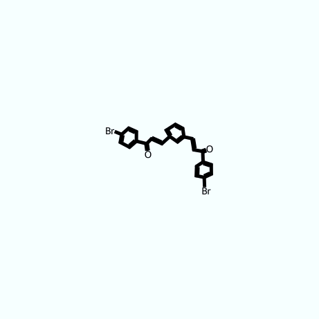 O=C(/C=C/c1cccc(/C=C/C(=O)c2ccc(Br)cc2)c1)c1ccc(Br)cc1